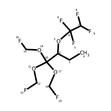 CCC(OC(F)(F)C(F)F)C(OCF)(OCF)OCF